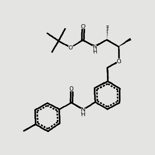 Cc1ccc(C(=O)Nc2cccc(CO[C@H](C)[C@@H](C)NC(=O)OC(C)(C)C)c2)cc1